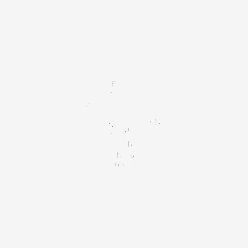 CCCCn1cc(C(=O)NCc2ccc(F)cc2Cl)c(=O)n(-c2cccc(C#N)c2)c1=O